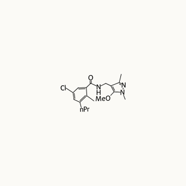 CCCc1cc(Cl)cc(C(=O)NCc2c(C)nn(C)c2OC)c1C